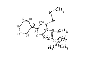 CCCCN1C(=CC(=O)C2CCCCC2)SC(C(C)(C)C)=C1C